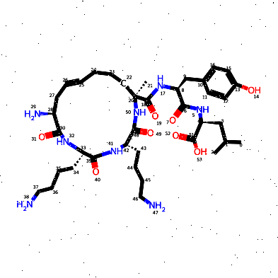 CC(C)C[C@H](NC(=O)[C@H](Cc1ccc(O)cc1)NC(=O)[C@]1(C)CCC/C=C/C[C@H](N)C(=O)N[C@@H](CCCCN)C(=O)N[C@@H](CCCCN)C(=O)N1)C(=O)O